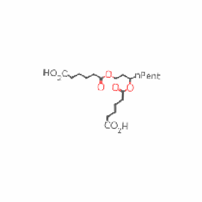 CCCCCC(CCOC(=O)CCCCC(=O)O)OC(=O)CCCCC(=O)O